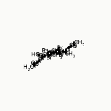 C=CC(=O)OCCOCC(C)COc1c(Br)cc(C(C)(C)c2cc(Br)c(OCC(COCCOC(=O)C=C)OCO)c(Br)c2)cc1Br